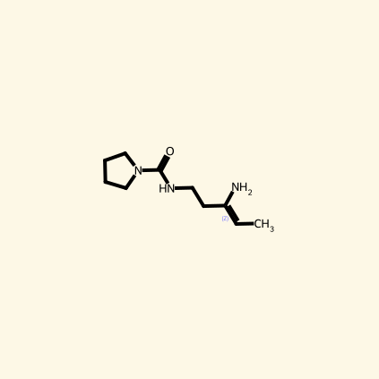 C/C=C(\N)CCNC(=O)N1CCCC1